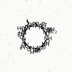 C/C=C/C[C@@H](C)[C@@H](O)[C@H]1C(=O)N[C@@H](CC)C(=O)N(C)CC(=O)N(C)[C@@H](CC(C)C)C(=O)N[C@@H](C(C)C)C(=O)N(C)[C@@H](CC(C)C)C(=O)N[C@@H](C)C(=O)N[C@H](C)C(=O)N(C)[C@@H](CC(C)C)C(=O)N(C)[C@@H](CC(C)C)C(=O)N(C)[C@@H](C(C)C)C(=O)N1C.CC(N)=O